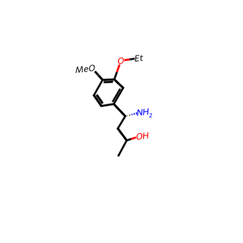 CCOc1cc([C@H](N)CC(C)O)ccc1OC